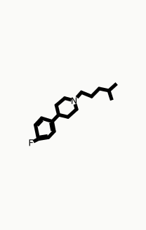 CC(C)CCCN1CCC(c2ccc(F)cc2)CC1